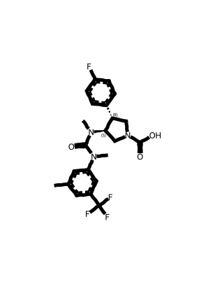 Cc1cc(N(C)C(=O)N(C)[C@@H]2CN(C(=O)O)C[C@H]2c2ccc(F)cc2)cc(C(F)(F)F)c1